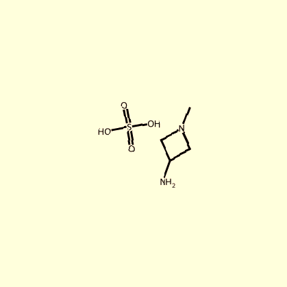 CN1CC(N)C1.O=S(=O)(O)O